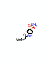 CNCC(=O)Nc1ccc(S(N)(=O)=O)cc1